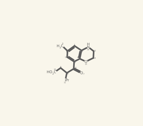 Cc1cc2c(c(C(=O)C(CC(=O)O)C(C)C)c1)OCCN2